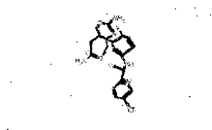 C[C@H]1CC2CSC(N)=NC2(c2cc(NC(=O)c3ccc(C(F)(F)F)cn3)ccc2F)CO1